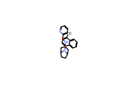 N#Cc1ccc(N2C3CCC2CC(NCc2ccccn2)C3)c2ccccc12